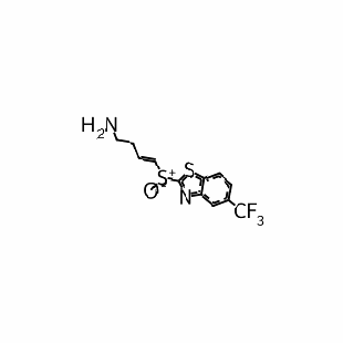 NCC/C=C/[S+]([O-])c1nc2cc(C(F)(F)F)ccc2s1